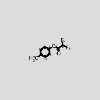 Cc1ccc(OC(=O)C(F)F)cc1